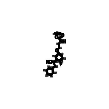 CC(C)(C)OC(=O)NCCOc1ccc(F)c(C(C#N)Cc2ccccc2)c1